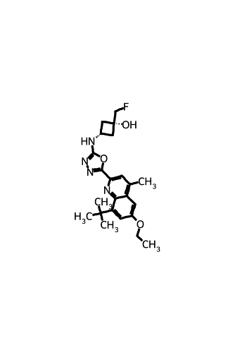 CCOc1cc(C(C)(C)C)c2nc(-c3nnc(N[C@H]4C[C@](O)(CF)C4)o3)cc(C)c2c1